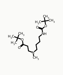 CN(CCCCNC(=O)OC(C)(C)C)CCC(=O)OC(C)(C)C